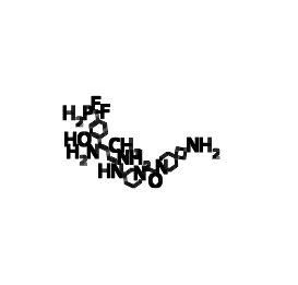 CC(/C=C(\N)NC1CCCN(CC(=O)N2CCC3(CC2)CC(N)C3)C1)=C(/N)c1ccc(C(F)(F)P)cc1O